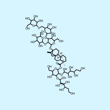 C=C1CC23CCC4[C@](C)(C(=O)OC5OC(CO)C(O)C(OC(O)/C(O)=C(\O)C(O)CCO)C5OC(O)C(O)C(O)C(O)CCO)CCC[C@@]4(C)[C@@H]2CCC1(OC1OC(CO)C(O)C(OC2OC(COC4OC(CO)C(O)C(O)C4O)C(O)C(O)C2O)C1OC1OC(CO)C(O)C(O)C1O)C3